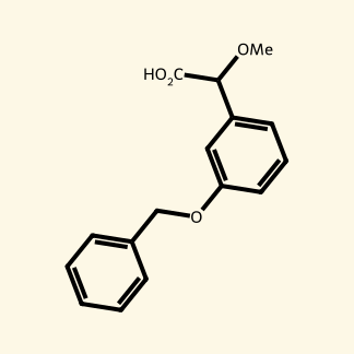 COC(C(=O)O)c1cccc(OCc2ccccc2)c1